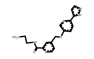 O=C(O)CCNC(=O)c1cc(COc2ccc(-c3ccn[nH]3)nc2)ccn1